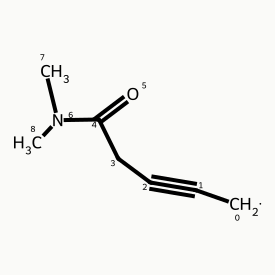 [CH2]C#CCC(=O)N(C)C